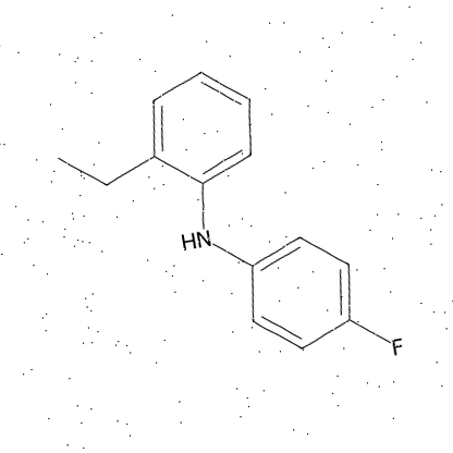 CCc1ccccc1Nc1ccc(F)cc1